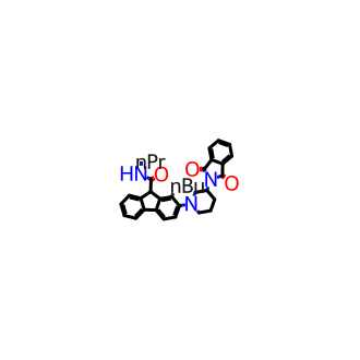 CCCCc1c(N2CCCC(N3C(=O)c4ccccc4C3=O)C2)ccc2c1C(C(=O)NCCC)c1ccccc1-2